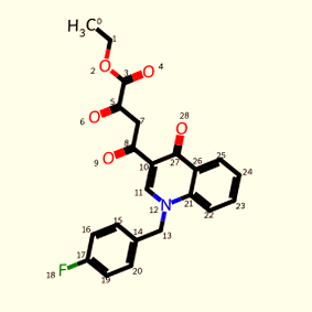 CCOC(=O)C(=O)CC(=O)c1cn(Cc2ccc(F)cc2)c2ccccc2c1=O